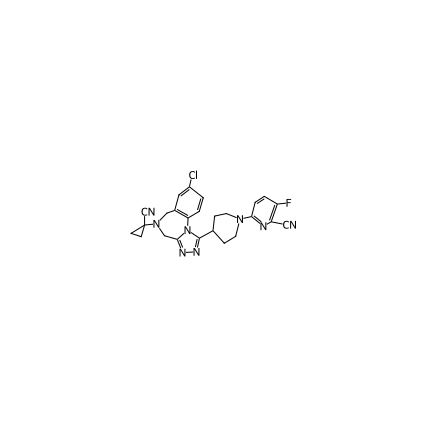 N#Cc1nc(N2CCC(c3nnc4n3-c3ccc(Cl)cc3CN(C3(C#N)CC3)C4)CC2)ccc1F